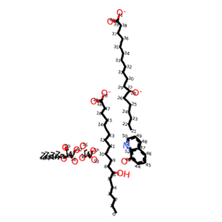 CCCCCCC(O)CCCCCCCCCCC(=O)[O-].CCCCCCC([O-])CCCCCCCCCCC(=O)[O-].[O-]c1cccc2cccnc12.[O]=[W](=[O])([O-])[O-].[O]=[W](=[O])([O-])[O-].[Zn+2].[Zn+2].[Zn+2].[Zn+2]